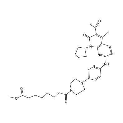 COC(=O)CCCCCCC(=O)N1CCN(c2ccc(Nc3ncc4c(C)c(C(C)=O)c(=O)n(C5CCCC5)c4n3)nc2)CC1